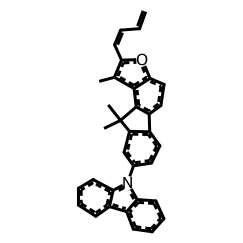 C=C/C=C\c1oc2ccc3c(c2c1C)C(C)(C)c1cc(-n2c4ccccc4c4ccccc42)ccc1-3